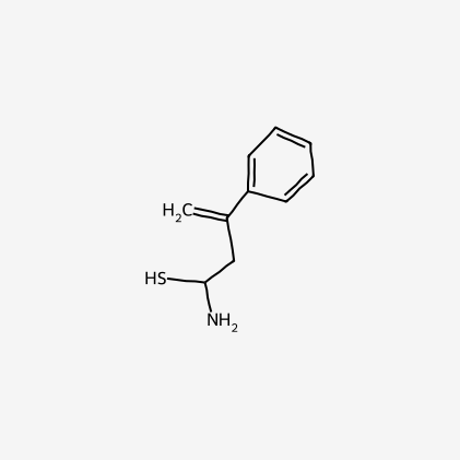 C=C(CC(N)S)c1ccccc1